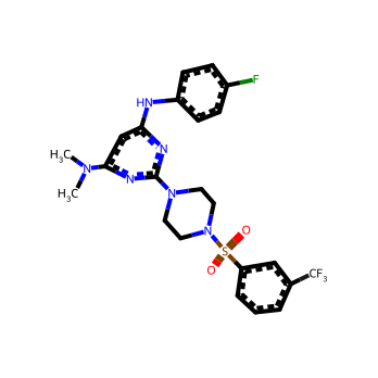 CN(C)c1cc(Nc2ccc(F)cc2)nc(N2CCN(S(=O)(=O)c3cccc(C(F)(F)F)c3)CC2)n1